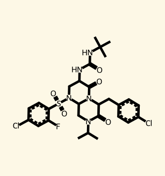 CC(C)N1CC2N(C(=O)C(NC(=O)NC(C)(C)C)CN2S(=O)(=O)c2ccc(Cl)cc2F)C(Cc2ccc(Cl)cc2)C1=O